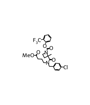 COC(=O)CCCN(Cc1ccc(Cl)cc1)C(=O)C1(C)CCN1C(=O)Oc1ccccc1C(F)(F)F